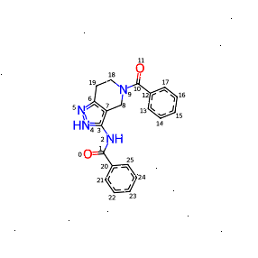 O=C(Nc1[nH]nc2c1CN(C(=O)c1ccccc1)CC2)c1ccccc1